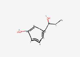 CCC(O)c1cccc(O)c1